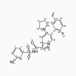 N#Cc1cccc(S(=O)(=O)NC(=O)c2cnn3ccc(N4CCC[C@@H]4c4cc(F)ccc4F)cc23)c1